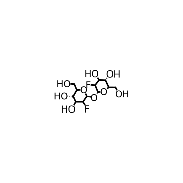 OCC1O[C@H](O[C@@H]2OC(CO)[C@@H](O)C(O)C2F)C(F)C(O)[C@@H]1O